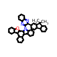 CC1(C)c2ccccc2-c2ccc(-c3nc4ccccc4nc3-n3c4ccccc4c4c5ccccc5c5c6ccccc6oc5c43)cc21